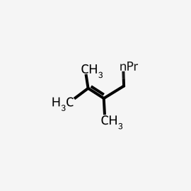 [CH2]CCCC(C)=C(C)C